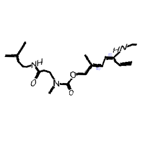 C=C/C(=C\C=C(/C)COC(=O)N(C)CC(=O)NCC(C)C)NC